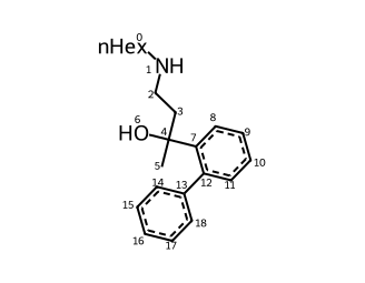 CCCCCCNCCC(C)(O)c1ccccc1-c1ccccc1